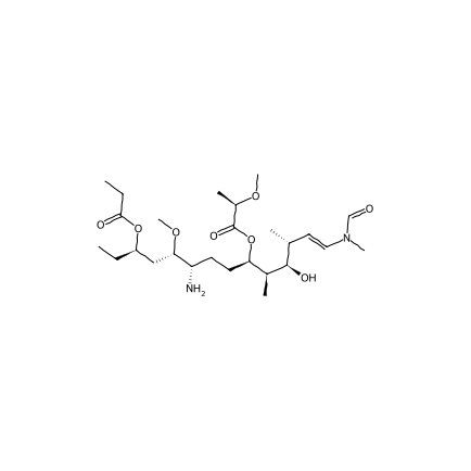 CCC(=O)O[C@H](CC)C[C@H](OC)[C@@H](N)CC[C@@H](OC(=O)[C@@H](C)OC)[C@H](C)[C@H](O)[C@H](C)/C=C/N(C)C=O